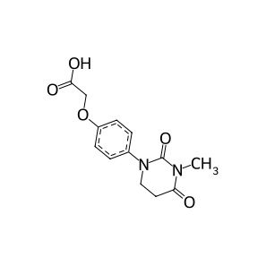 CN1C(=O)CCN(c2ccc(OCC(=O)O)cc2)C1=O